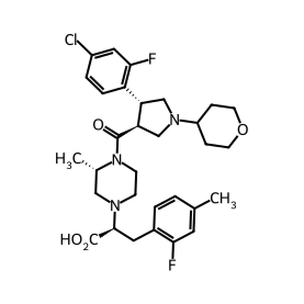 Cc1ccc(C[C@@H](C(=O)O)N2CCN(C(=O)[C@@H]3CN(C4CCOCC4)C[C@H]3c3ccc(Cl)cc3F)[C@@H](C)C2)c(F)c1